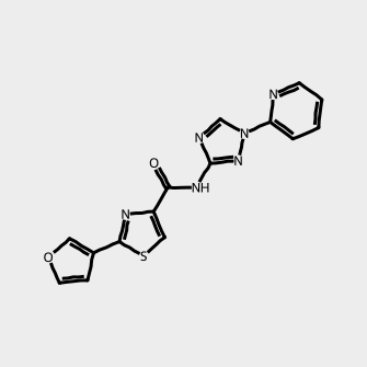 O=C(Nc1ncn(-c2ccccn2)n1)c1csc(-c2ccoc2)n1